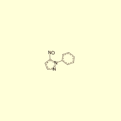 O=Nc1ccnn1-c1ccccc1